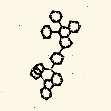 c1ccc(-c2c(-c3ccccc3)c3cc(-c4ccc(N(c5ccccc5)c5cccc6c7ccccc7n(-c7ccccc7)c56)cc4)ccc3c3ccccc23)cc1